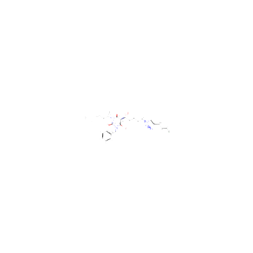 O=C(O)CCC(C(=O)O)N1C(=O)/C(=C(\O)CCCCn2cc(CCCF)nn2)C(=O)N(Cc2ccccc2)C1=O